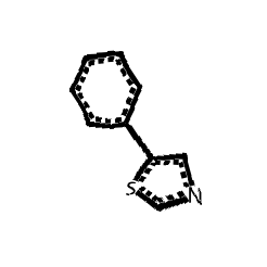 c1ccc(-c2cncs2)cc1